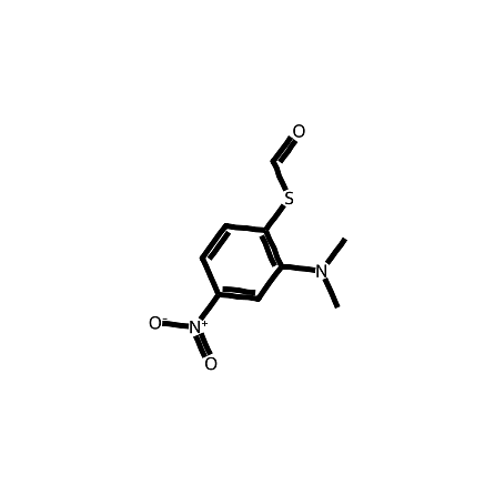 CN(C)c1cc([N+](=O)[O-])ccc1SC=O